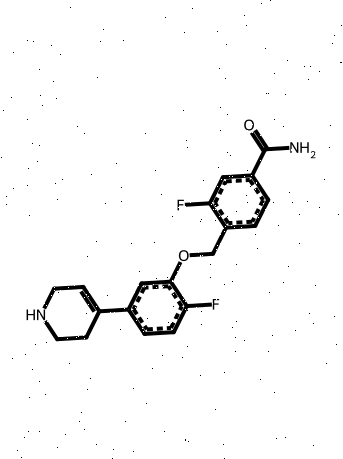 NC(=O)c1ccc(COc2cc(C3=CCNCC3)ccc2F)c(F)c1